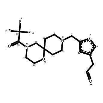 O=CCc1csc(CN2CCC3(CC2)CN(C(=O)C(F)(F)F)CCO3)c1